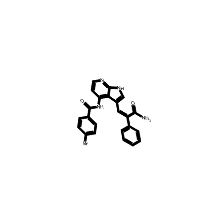 NC(=O)C(=Cc1c[nH]c2nccc(NC(=O)c3ccc(Br)cc3)c12)c1ccccc1